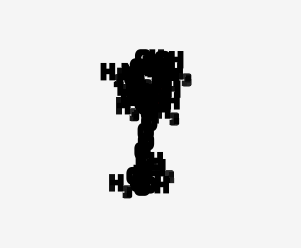 CC[C@H](C)[C@@H]1NC(=O)CCNC(=O)[C@@H]2Cc3c([nH]c4c(CSCCOCCOCCOCCOCCOCCN/C=C(\N)CNC(=O)C(C)CC(=O)O)c(O)ccc34)[S+]([O-])C[C@@H](NC(=O)CNC1=O)C(=O)N[C@@H](CC(N)=O)C(=O)N1C[C@H](O)C[C@H]1C(=O)N[C@@H]([C@@H](C)[C@@H](O)CO)C(=O)N2